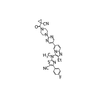 CCc1nc2ccc(-c3cnc(N4CCN(C(=O)C5(C#N)CC5)CC4)nc3)cn2c1N(C)c1nc(-c2ccc(F)cc2)c(C#N)s1